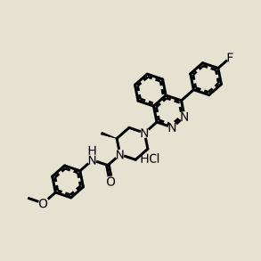 COc1ccc(NC(=O)N2CCN(c3nnc(-c4ccc(F)cc4)c4ccccc34)C[C@@H]2C)cc1.Cl